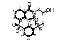 O=c1c2cccc3c2n(c(=O)n1CCO)-c1c(C(F)(F)F)cccc1S3(=O)=O